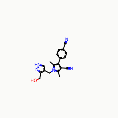 Cc1c(C#N)c(-c2ccc(C#N)cc2)c(C)n1Cc1c[nH]nc1CO